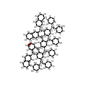 c1ccc(N(c2ccccc2)c2cc3c4c(c2)N(c2ccc5ccccc5c2)c2cc5ccccc5cc2B4c2cc4c(cc2N3c2ccccc2)N(c2ccccc2)c2cc(N(c3ccccc3)c3ccccc3)cc3c2B4c2cc4ccccc4cc2N3c2ccc3ccccc3c2)cc1